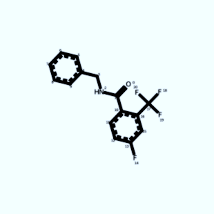 O=C(NCc1cc[c]cc1)c1ccc(F)cc1C(F)(F)F